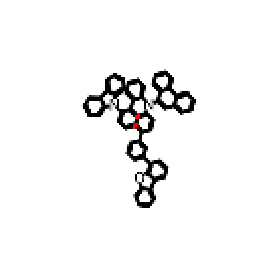 c1cc(-c2ccc(N(c3ccccc3-c3ccccc3-n3c4ccccc4c4ccccc43)c3cc4ccccc4c4ccccc34)cc2)cc(-c2cccc3c2oc2ccccc23)c1